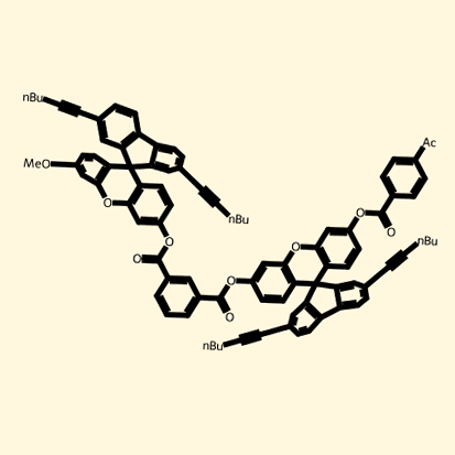 CCCCC#Cc1ccc2c(c1)C1(c3ccc(OC)cc3Oc3cc(OC(=O)c4cccc(C(=O)Oc5ccc6c(c5)Oc5cc(OC(=O)c7ccc(C(C)=O)cc7)ccc5C65c6cc(C#CCCCC)ccc6-c6ccc(C#CCCCC)cc65)c4)ccc31)c1cc(C#CCCCC)ccc1-2